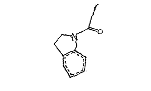 CCC(=O)N1CCc2cc[c]cc21